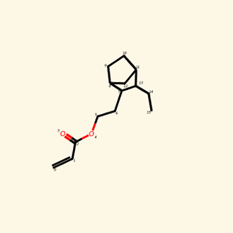 C=CC(=O)OCCC1C2CCC(C2)C1CC